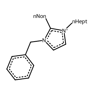 CCCCCCCCCc1n(Cc2ccccc2)cc[n+]1CCCCCCC